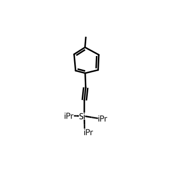 Cc1ccc(C#C[Si](C(C)C)(C(C)C)C(C)C)cc1